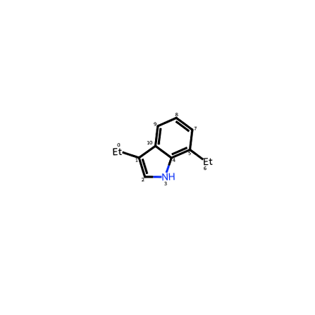 CCc1c[nH]c2c(CC)cccc12